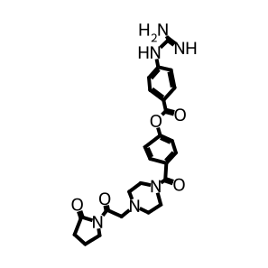 N=C(N)Nc1ccc(C(=O)Oc2ccc(C(=O)N3CCN(CC(=O)N4CCCC4=O)CC3)cc2)cc1